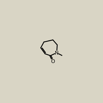 CN1CCCC=CC1=O